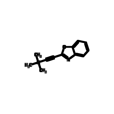 C[Si](C)(C)C#Cc1nc2ccccc2o1